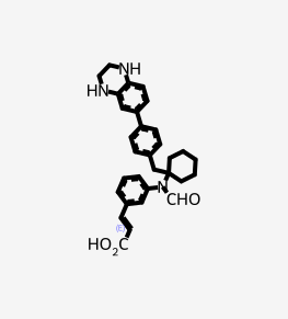 O=CN(c1cccc(/C=C/C(=O)O)c1)C1(Cc2ccc(-c3ccc4c(c3)NCCN4)cc2)CCCCC1